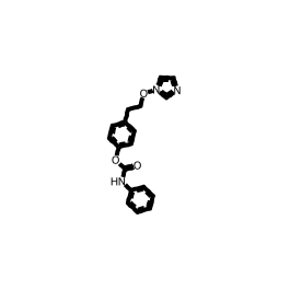 O=C(Nc1ccccc1)Oc1ccc(CCOn2ccnc2)cc1